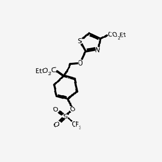 CCOC(=O)c1csc(OCC2(C(=O)OCC)CC=C(OS(=O)(=O)C(F)(F)F)CC2)n1